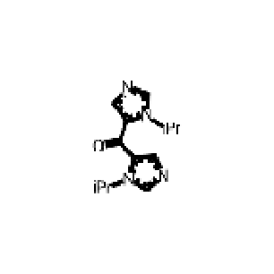 CC(C)n1cncc1C(=O)c1cncn1C(C)C